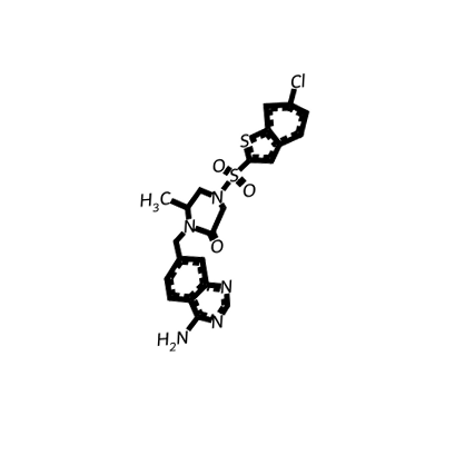 CC1CN(S(=O)(=O)c2cc3ccc(Cl)cc3s2)CC(=O)N1Cc1ccc2c(N)ncnc2c1